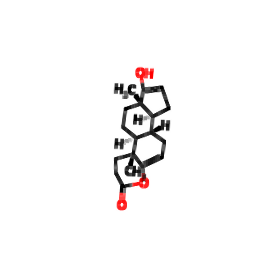 C[C@]12CCC(=O)OC1=CC[C@@H]1[C@@H]2CC[C@]2(C)C(O)=CC[C@@H]12